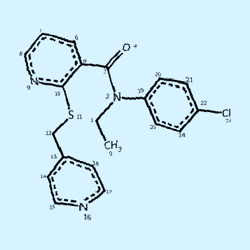 CCN(C(=O)c1cccnc1SCc1ccncc1)c1ccc(Cl)cc1